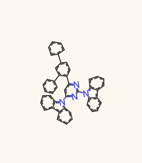 c1ccc(-c2ccc(-c3cc(-n4c5ccccc5c5ccccc54)nc(-n4c5ccccc5c5ccccc54)n3)c(-c3ccccc3)c2)cc1